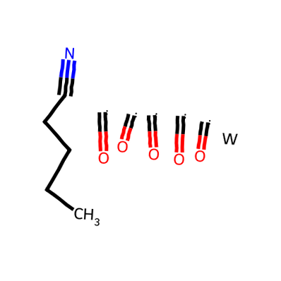 CCCCC#N.[C]=O.[C]=O.[C]=O.[C]=O.[C]=O.[W]